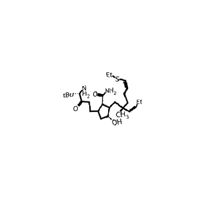 CC/C=C\C(C)(CC/C=C\SCC)CC1[C@H](C(N)=O)C(CCC(=O)[C@@H](N)C(C)(C)C)C[C@@H]1O